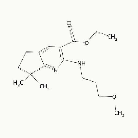 CCOC(=O)c1cc2c(nc1NCCCOC)C(C)(C)CC2